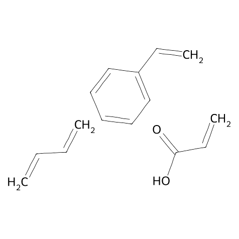 C=CC(=O)O.C=CC=C.C=Cc1ccccc1